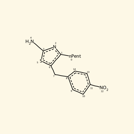 CCCCCc1nc(N)sc1Cc1ccc([N+](=O)[O-])cc1